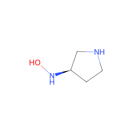 ON[C@@H]1CCNC1